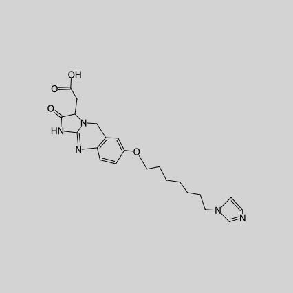 O=C(O)CC1C(=O)NC2=Nc3ccc(OCCCCCCCn4ccnc4)cc3CN21